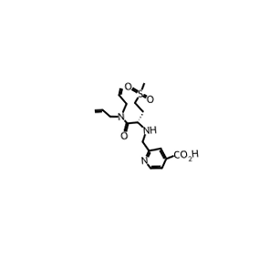 C=CCN(CC=C)C(=O)[C@H](CCS(C)(=O)=O)NCc1cc(C(=O)O)ccn1